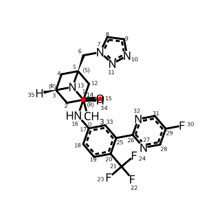 C[C@@H]1C[C@@H]2C[C@](Cn3ccnn3)(C1)N2C(=O)Nc1ccc(C(F)(F)F)c(-c2ncc(F)cn2)c1